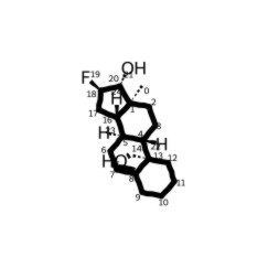 C[C@]12CC[C@H]3[C@@H](CC=C4CCCC[C@@]43CO)[C@@H]1C[C@@H](F)[C@@H]2O